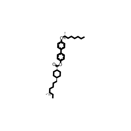 CCCCCC[C@@H](C)Oc1ccc(-c2ccc(OC(=O)[C@H]3CC[C@H](CCCC[C@@H](C)CC)CC3)cc2)cc1